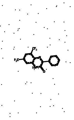 O=c1[nH]c2cc(C(F)(F)F)cc(C(F)(F)F)c2nc1-c1ccccc1